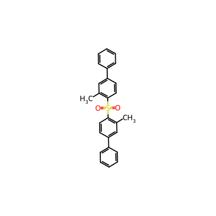 Cc1cc(-c2ccccc2)ccc1S(=O)(=O)c1ccc(-c2ccccc2)cc1C